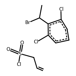 C=CCS(=O)(=O)Cl.CC(Br)c1c(Cl)cccc1Cl